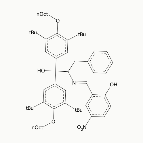 CCCCCCCCOc1c(C(C)(C)C)cc(C(O)(c2cc(C(C)(C)C)c(OCCCCCCCC)c(C(C)(C)C)c2)C(Cc2ccccc2)N=Cc2cc([N+](=O)[O-])ccc2O)cc1C(C)(C)C